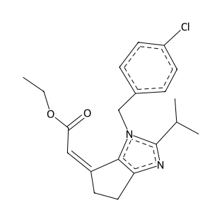 CCOC(=O)C=C1CCc2nc(C(C)C)n(Cc3ccc(Cl)cc3)c21